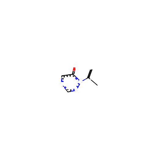 C=C(C)n1ncncc1=O